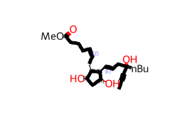 CC#CC(O)(C/C=C/[C@@H]1[C@@H](C/C=C\CCCC(=O)OC)[C@@H](O)C[C@H]1O)CCCC